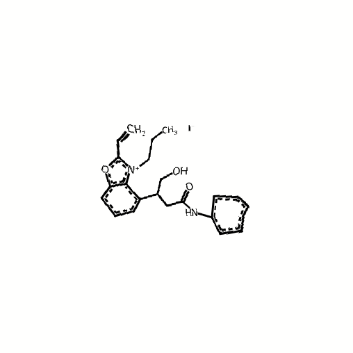 C=Cc1oc2cccc(C(CO)CC(=O)Nc3ccccc3)c2[n+]1CCC.[I-]